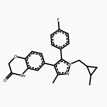 Cc1nn(CC2CC2C)c(-c2ccc(F)cc2)c1-c1ccc2c(c1)NC(=O)CO2